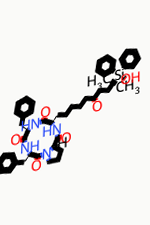 CC(C)(CCC(=O)CCCCC[C@@H]1NC(=O)[C@H]2CCCN2C(=O)[C@H](Cc2ccccc2)NC(=O)[C@H](Cc2ccccc2)NC1=O)[Si](O)(c1ccccc1)c1ccccc1